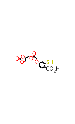 O=C(COc1ccc(C(=O)O)c(S)c1)OCC1COC(=O)O1